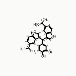 CC(C)c1ccc2[nH]cc(C(c3ccc(O)c(O)c3)c3c[nH]c4ccc(C(C)C)cc34)c2c1